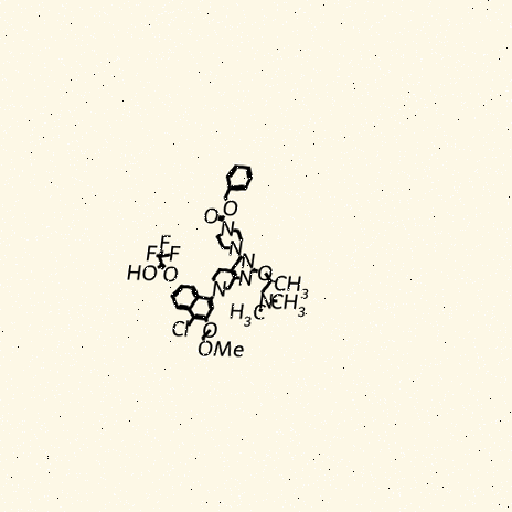 COCOc1cc(N2CCc3c(nc(O[C@H](C)CN(C)C)nc3N3CCN(C(=O)OCc4ccccc4)CC3)C2)c2ccccc2c1Cl.O=C(O)C(F)(F)F